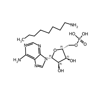 CCCCCCCCN.Nc1ncnc2c1ncn2[C@@H]1O[C@H](COP(=O)(O)O)[C@@H](O)[C@H]1O